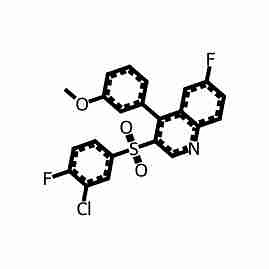 COc1cccc(-c2c(S(=O)(=O)c3ccc(F)c(Cl)c3)cnc3ccc(F)cc23)c1